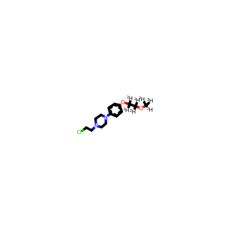 [2H]C([2H])([2H])OC([2H])([2H])C([2H])([2H])Oc1ccc(N2CCN(CCCl)CC2)cc1